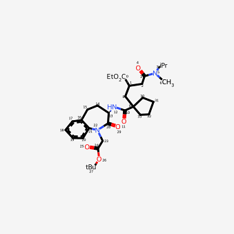 CCOC(=O)C(CC(=O)N(C)C(C)C)CC1(C(=O)N[C@H]2CCc3ccccc3N(CC(=O)OC(C)(C)C)C2=O)CCCC1